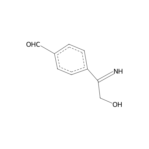 N=C(CO)c1ccc(C=O)cc1